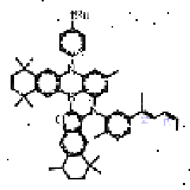 C/C=C\C=C(/I)c1ccc(C)c(N2c3cc(C)cc4c3B(c3cc5c(cc3N4c3ccc(C(C)(C)C)cc3)C(C)(C)CCC5(C)C)c3oc4cc5c(cc4c32)C(C)(C)CCC5C)c1